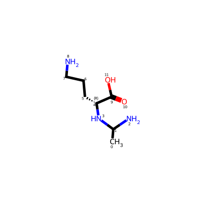 CC(N)N[C@H](CCCN)C(=O)O